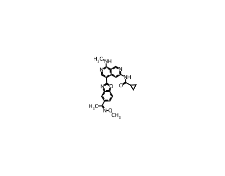 CNc1ncc(-c2nc3cc(/C(C)=N\OC)ccc3o2)c2cc(NC(=O)C3CC3)ncc12